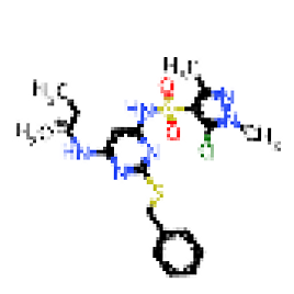 CC[C@@H](C)Nc1cc(NS(=O)(=O)c2c(C)nn(C)c2Cl)nc(SCc2ccccc2)n1